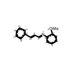 COc1ccccc1N=CC=Cc1ccccc1